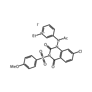 CC[n+]1cccc(N(C(C)=O)n2c(=O)n(S(=O)(=O)c3ccc(OC)cc3)c(=O)c3ccc(Cl)cc32)c1.[I-]